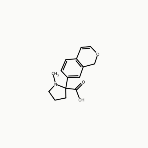 CN1CCCC1(C(=O)O)c1ccc2c(c1)COC=C2